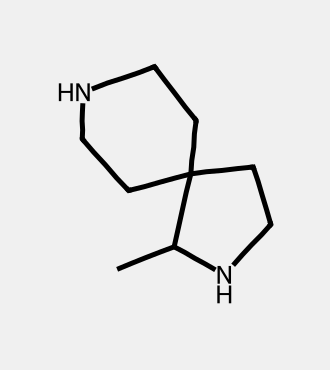 CC1NCCC12CCNCC2